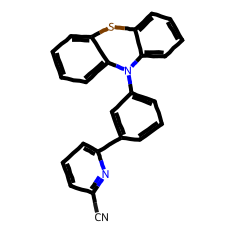 N#Cc1cccc(-c2cccc(N3c4ccccc4Sc4ccccc43)c2)n1